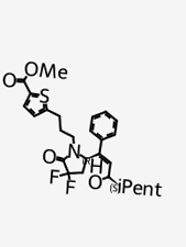 CCC[C@H](C)C(O)C=C(c1ccccc1)[C@H]1CC(F)(F)C(=O)N1CCCc1ccc(C(=O)OC)s1